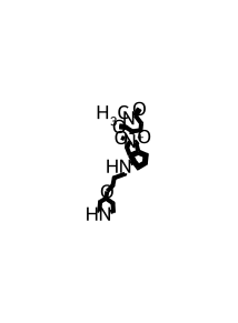 CN1C(=O)CCC([N+]2([O-])Cc3c(NCCCOC4CCNCC4)cccc3C2=O)C1=O